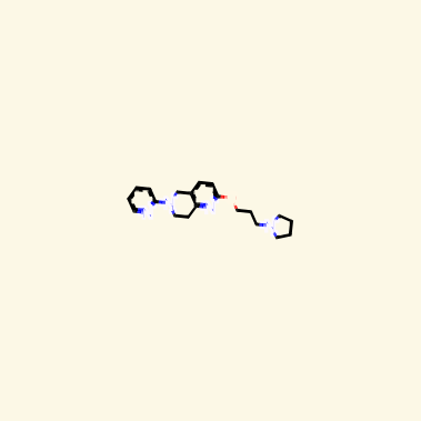 c1ccc(N2CCc3nc(OCCCN4CCCC4)ccc3C2)nc1